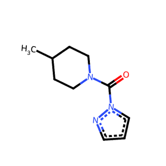 CC1CCN(C(=O)n2cccn2)CC1